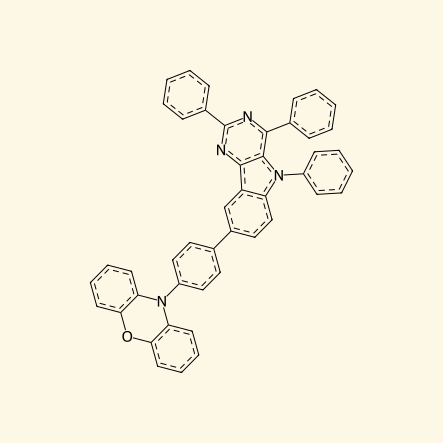 c1ccc(-c2nc(-c3ccccc3)c3c(n2)c2cc(-c4ccc(N5c6ccccc6Oc6ccccc65)cc4)ccc2n3-c2ccccc2)cc1